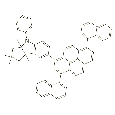 CC1(C)CC2(C)c3cc(-c4cc(-c5cccc6ccccc56)c5ccc6ccc(-c7cccc8ccccc78)c7ccc4c5c67)ccc3N(c3ccccc3)C2(C)C1